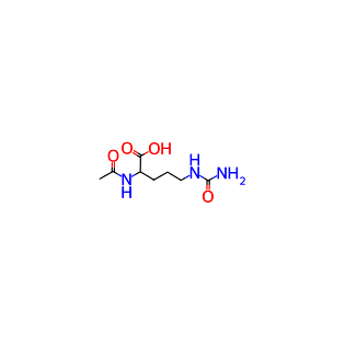 CC(=O)NC(CCCNC(N)=O)C(=O)O